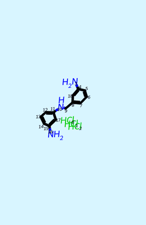 Cl.Cl.Cl.Nc1cccc(CNc2cccc(N)c2)c1